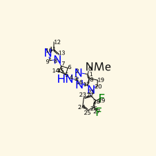 CNc1nc(NC23CC(n4cnc(C)c4)(C2)C3)nc2c1CCN2c1cccc(F)c1F